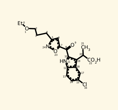 CCOCCCc1cc(C(=O)c2[nH]c3ccc(Cl)cc3c2C(C)C(=O)O)on1